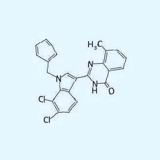 Cc1cccc2c(=O)[nH]c(-c3cn(Cc4ccccc4)c4c(Cl)c(Cl)ccc34)nc12